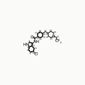 O=C(Nc1c[nH]c2ccc(Cl)cc12)c1ccc(CC2CCN(CC(F)(F)F)CC2)cc1